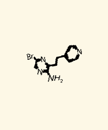 Nc1ncc(Br)nc1CCc1ccncc1